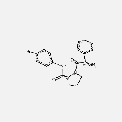 N[C@@H](C(=O)N1CCC[C@H]1C(=O)Nc1ccc(Br)cc1)c1ccccc1